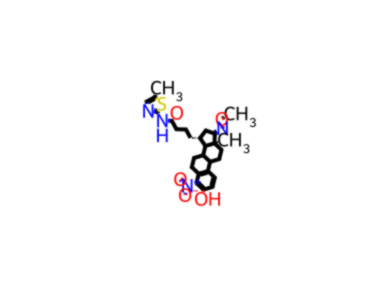 CO/N=C1\C[C@@H](CCCC(=O)Nc2ncc(C)s2)C2C3CCc4c(ccc(O)c4[N+](=O)[O-])C3CC[C@]12C